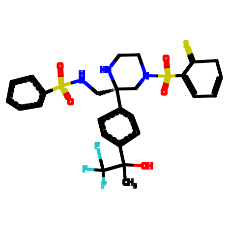 CC(O)(c1ccc([C@]2(CNS(=O)(=O)c3ccccc3)CN(S(=O)(=O)C3=CC=CCC3=S)CCN2)cc1)C(F)(F)F